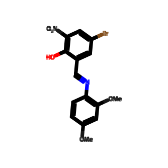 COc1ccc(/N=C/c2cc(Br)cc([N+](=O)[O-])c2O)c(OC)c1